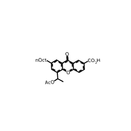 CCCCCCCCc1cc(C(C)OC(C)=O)c2oc3ccc(C(=O)O)cc3c(=O)c2c1